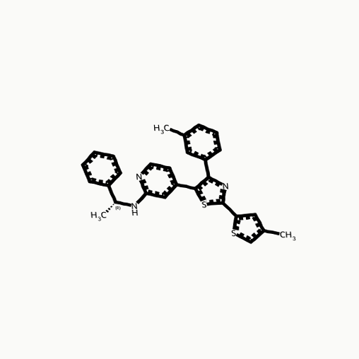 Cc1cccc(-c2nc(-c3cc(C)cs3)sc2-c2ccnc(N[C@H](C)c3ccccc3)c2)c1